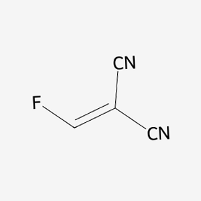 N#CC(C#N)=CF